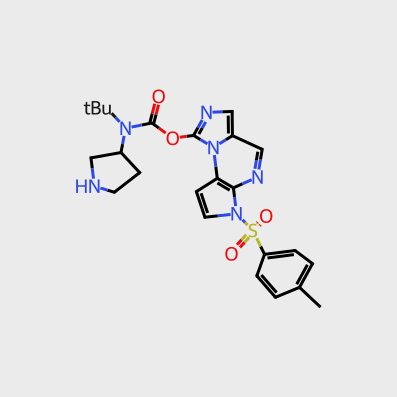 Cc1ccc(S(=O)(=O)n2ccc3c2ncc2cnc(OC(=O)N(C4CCNC4)C(C)(C)C)n23)cc1